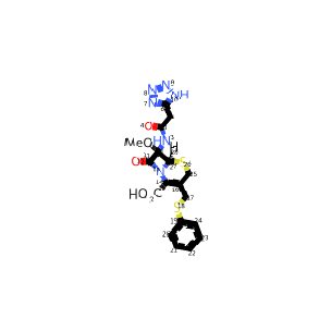 COC1(NC(=O)Cc2nnn[nH]2)C(=O)N2C(C(=O)O)=C(CSc3ccccc3)CS[C@@H]21